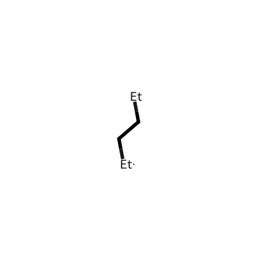 [CH]CCC[CH]C